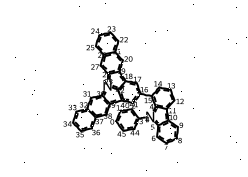 c1ccc(-n2c3ccccc3c3cccc(-c4cc5c6cc7ccccc7cc6n6c7cc8ccccc8cc7c(c4)c56)c32)cc1